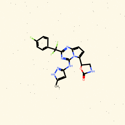 Cc1cc(Nc2nc(C(F)(F)c3ccc(F)cc3)nc3ccc(C4CNC(=O)O4)n23)n[nH]1